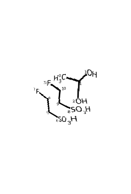 CC(O)O.O=S(=O)(O)CCF.O=S(=O)(O)CCF